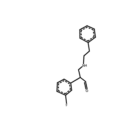 O=CC(CNCCc1ccccc1)c1cccc(F)c1